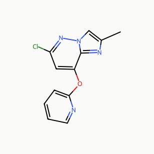 Cc1cn2nc(Cl)cc(Oc3ccccn3)c2n1